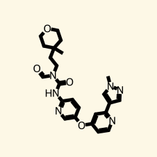 Cn1cc(-c2cc(Oc3ccc(NC(=O)N(C=O)CCC4(C)CCOCC4)nc3)ccn2)cn1